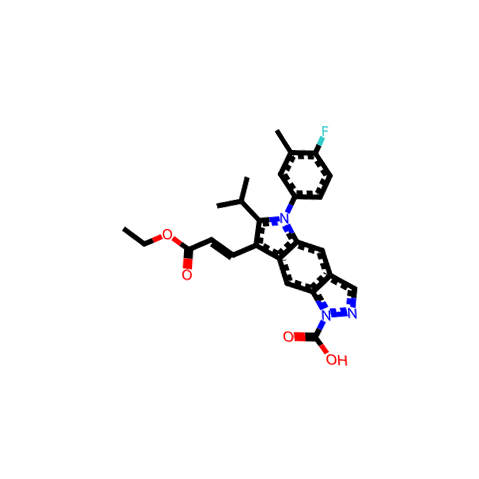 CCOC(=O)/C=C/c1c(C(C)C)n(-c2ccc(F)c(C)c2)c2cc3cnn(C(=O)O)c3cc12